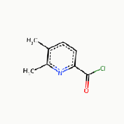 Cc1ccc(C(=O)Cl)nc1C